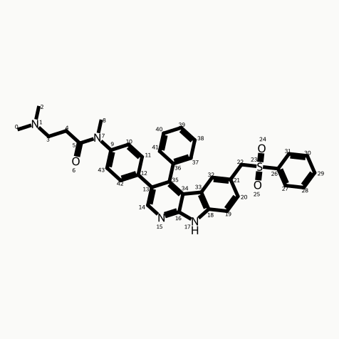 CN(C)CCC(=O)N(C)c1ccc(-c2cnc3[nH]c4ccc(CS(=O)(=O)c5ccccc5)cc4c3c2-c2ccccc2)cc1